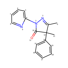 CC1=NN(c2ccccn2)C(=O)C1(C)c1ccccc1